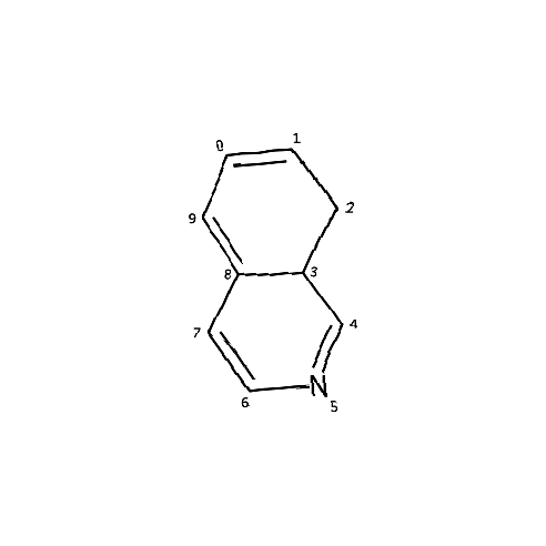 C1=CCC2C=NC=CC2=C1